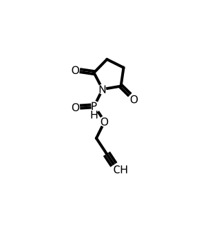 C#CCO[PH](=O)N1C(=O)CCC1=O